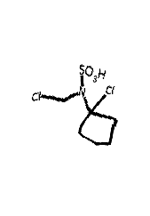 O=S(=O)(O)N(CCl)C1(Cl)CCCC1